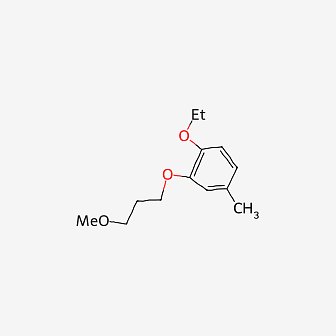 CCOc1ccc(C)cc1OCCCOC